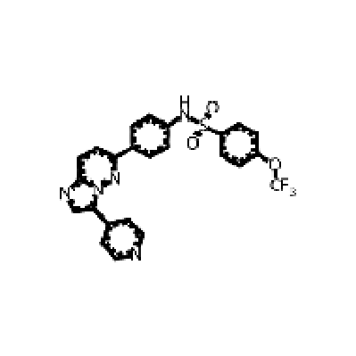 O=S(=O)(Nc1ccc(-c2ccc3ncc(-c4ccncc4)n3n2)cc1)c1ccc(OC(F)(F)F)cc1